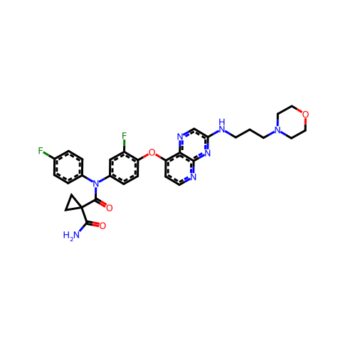 NC(=O)C1(C(=O)N(c2ccc(F)cc2)c2ccc(Oc3ccnc4nc(NCCCN5CCOCC5)cnc34)c(F)c2)CC1